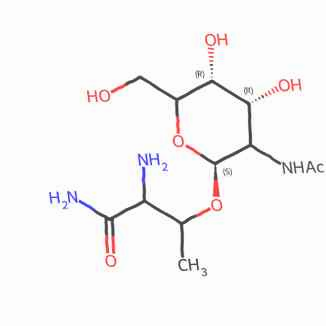 CC(=O)NC1[C@@H](OC(C)C(N)C(N)=O)OC(CO)[C@H](O)[C@@H]1O